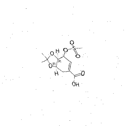 CC1(C)O[C@@H]2CC(C(=O)O)=CC(OS(C)(=O)=O)[C@@H]2O1